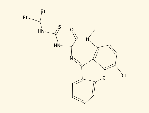 CCC(CC)NC(=S)NC1N=C(c2ccccc2Cl)c2cc(Cl)ccc2N(C)C1=O